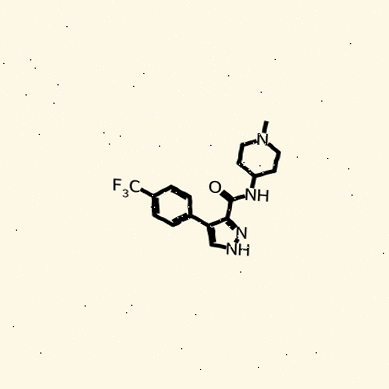 CN1CCC(NC(=O)c2n[nH]cc2-c2ccc(C(F)(F)F)cc2)CC1